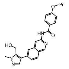 CC(C)Oc1ccc(C(=O)Nc2cc3cc(-c4cnn(C)c4CO)ccc3cn2)cc1